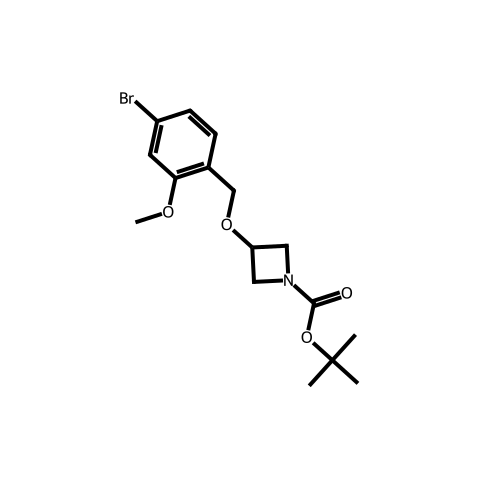 COc1cc(Br)ccc1COC1CN(C(=O)OC(C)(C)C)C1